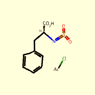 CC(=O)Cl.O=C(O)[C@H](Cc1ccccc1)N=S(=O)=O